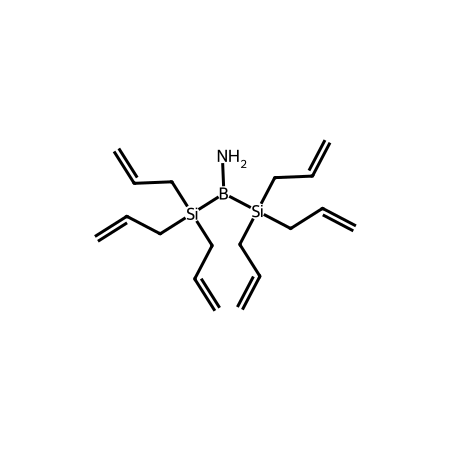 C=CC[Si](CC=C)(CC=C)B(N)[Si](CC=C)(CC=C)CC=C